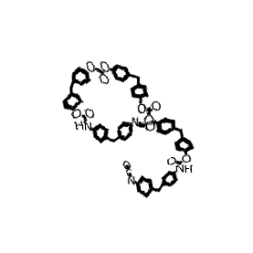 O=C=Nc1ccc(Cc2ccc(NC(=O)Oc3ccc(Cc4ccc(OC(=O)Oc5ccc(Cc6ccc(OC(=O)Oc7ccc(Cc8ccc(OC(=O)Nc9ccc(Cc%10ccc(N=C=O)cc%10)cc9)cc8)cc7)cc6)cc5)cc4)cc3)cc2)cc1